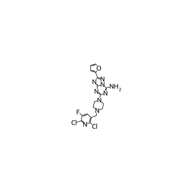 Nc1nc(N2CCN(Cc3cc(F)c(Cl)nc3Cl)CC2)nc2nc(-c3ccco3)nn12